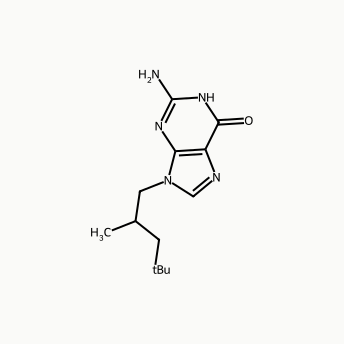 CC(Cn1cnc2c(=O)[nH]c(N)nc21)CC(C)(C)C